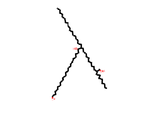 CCCCCCCCCCCCCCCCCCC(CCCCCCCCCCC(CO)CCCCCCCC)C(O)CCCCCCCCCCCCCCCCCCCCO